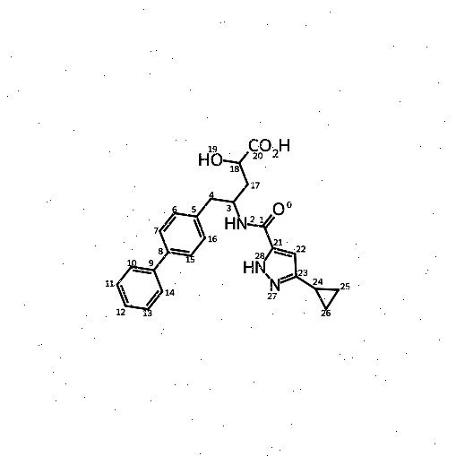 O=C(NC(Cc1ccc(-c2ccccc2)cc1)CC(O)C(=O)O)c1cc(C2CC2)n[nH]1